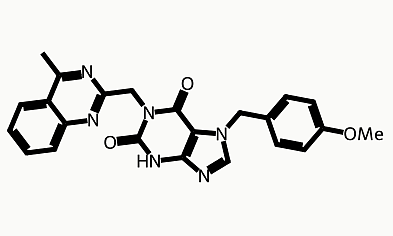 COc1ccc(Cn2cnc3[nH]c(=O)n(Cc4nc(C)c5ccccc5n4)c(=O)c32)cc1